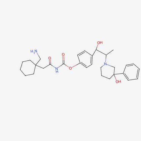 CC(C(O)c1ccc(OC(=O)NC(=O)CC2(CN)CCCCC2)cc1)N1CCCC(O)(c2ccccc2)C1